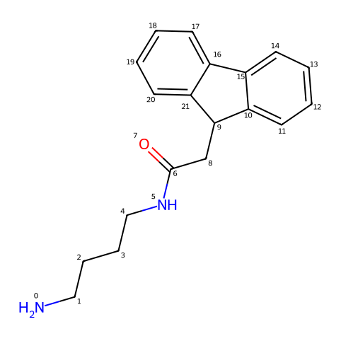 NCCCCNC(=O)CC1c2ccccc2-c2ccccc21